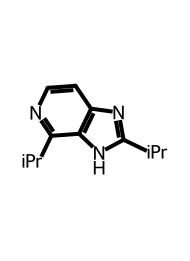 CC(C)c1nc2ccnc(C(C)C)c2[nH]1